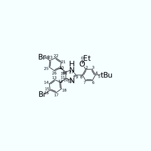 CCOc1cc(C(C)(C)C)ccc1C1=N[C@@H](c2ccc(Br)cc2)[C@@H](c2ccc(Br)cc2)N1